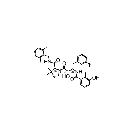 Cc1cccc(C)c1CNC(=O)[C@H]1N(C(=O)[C@@H](O)[C@H](Cc2cccc(F)c2)NC(=O)c2cccc(O)c2C)CSC1(C)C